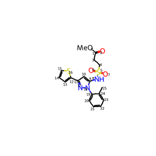 COC(=O)CCS(=O)(=O)Nc1cc(-c2cccs2)nn1-c1ccccc1C